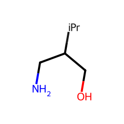 CC(C)C(CN)CO